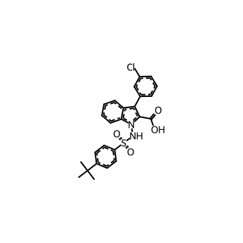 CC(C)(C)c1ccc(S(=O)(=O)Nn2c(C(=O)O)c(-c3cccc(Cl)c3)c3ccccc32)cc1